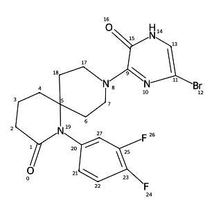 O=C1CCCC2(CCN(c3nc(Br)c[nH]c3=O)CC2)N1c1ccc(F)c(F)c1